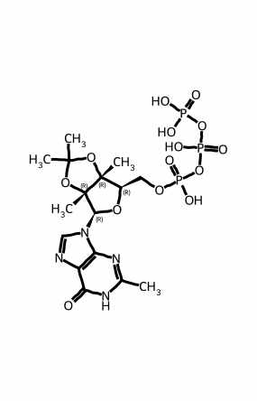 Cc1nc2c(ncn2[C@@H]2O[C@H](COP(=O)(O)OP(=O)(O)OP(=O)(O)O)[C@@]3(C)OC(C)(C)O[C@@]23C)c(=O)[nH]1